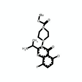 CC(N)c1nc2c(F)ccc(Cl)c2c(=O)n1N1CCN(C(=O)OC(C)(C)C)CC1